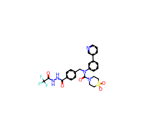 O=C(NNC(=O)C(F)(F)F)c1ccc(CN(C(=O)N2CCS(=O)(=O)CC2)c2cccc(-c3cccnc3)c2)cc1